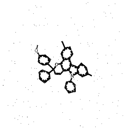 COc1ccc(C2(c3ccccc3)C=Cc3c(c4cc(C)ccc4c4c5ccc(C)cc5n(-c5ccccc5)c34)O2)cc1